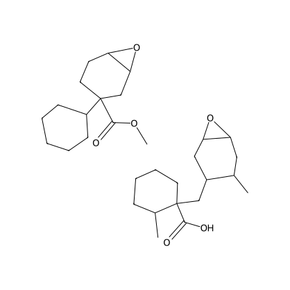 CC1CC2OC2CC1CC1(C(=O)O)CCCCC1C.COC(=O)C1(C2CCCCC2)CCC2OC2C1